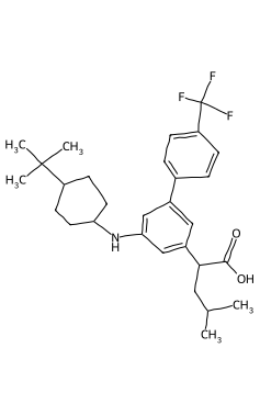 CC(C)CC(C(=O)O)c1cc(NC2CCC(C(C)(C)C)CC2)cc(-c2ccc(C(F)(F)F)cc2)c1